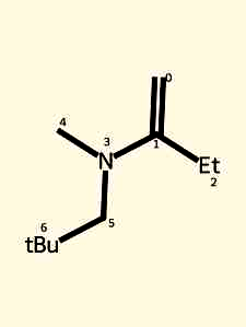 C=C(CC)N(C)CC(C)(C)C